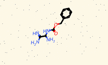 N=C(N)C(N)NC(=O)OCc1ccccc1